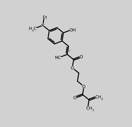 C=C(C)C(=O)OCCOC(=O)/C(C#N)=C/c1ccc(N(C)CC)cc1O